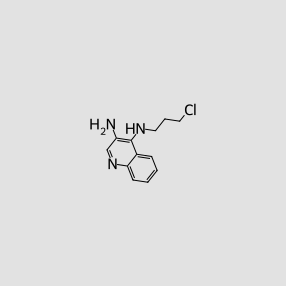 Nc1cnc2ccccc2c1NCCCCl